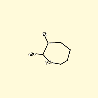 CCCCC1NCCCCC1CC